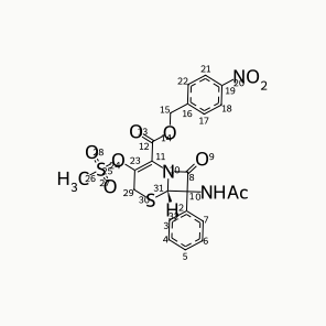 CC(=O)NC1(c2ccccc2)C(=O)N2C(C(=O)OCc3ccc([N+](=O)[O-])cc3)=C(OS(C)(=O)=O)CS[C@H]21